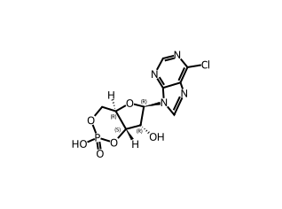 O=P1(O)OC[C@H]2O[C@@H](n3cnc4c(Cl)ncnc43)[C@H](O)[C@@H]2O1